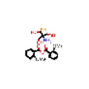 COc1ccccc1C(=O)OC(=O)c1ccccc1OC.NC(CO)(CO)CO.P